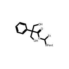 CCCCCC(CC)OC(=O)C(CO)(CO)c1ccccc1